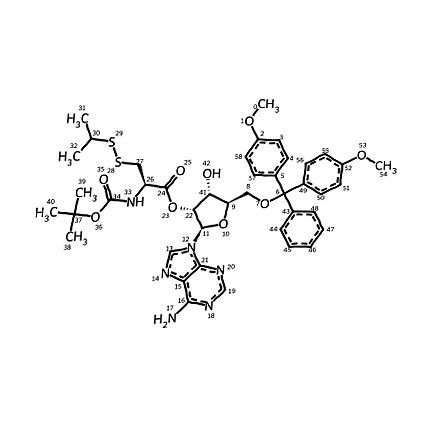 COc1ccc(C(OC[C@H]2O[C@@H](n3cnc4c(N)ncnc43)[C@H](OC(=O)[C@H](CSSC(C)C)NC(=O)OC(C)(C)C)[C@@H]2O)(c2ccccc2)c2ccc(OC)cc2)cc1